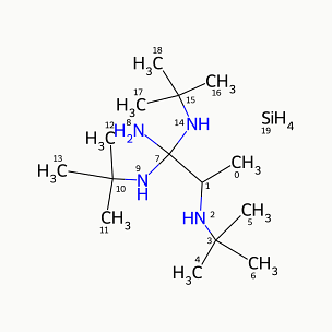 CC(NC(C)(C)C)C(N)(NC(C)(C)C)NC(C)(C)C.[SiH4]